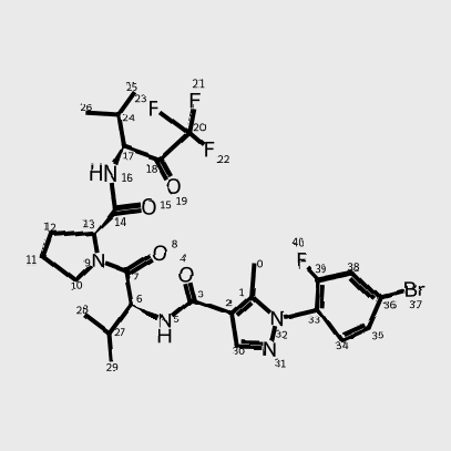 Cc1c(C(=O)N[C@H](C(=O)N2CCC[C@H]2C(=O)N[C@H](C(=O)C(F)(F)F)C(C)C)C(C)C)cnn1-c1ccc(Br)cc1F